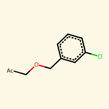 CC(=O)COCc1cccc(Cl)c1